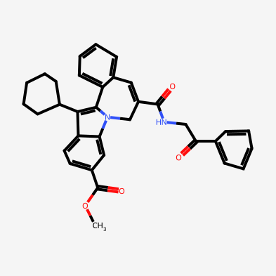 COC(=O)c1ccc2c(C3CCCCC3)c3n(c2c1)CC(C(=O)NCC(=O)c1ccccc1)=Cc1ccccc1-3